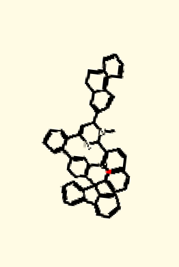 CN1C(c2ccccc2C2=CC3=C(CC2)C2(c4ccccc4O3)c3ccccc3-c3ccccc32)=CC(C2=CC3CC=c4ccccc4=C3C=C2)N(C)C1c1ccccc1